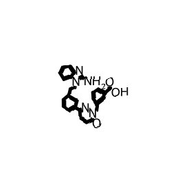 Nc1nc2ccccc2n1CCc1cccc(-c2ccc(=O)n(Cc3cccc(C(=O)O)c3)n2)c1